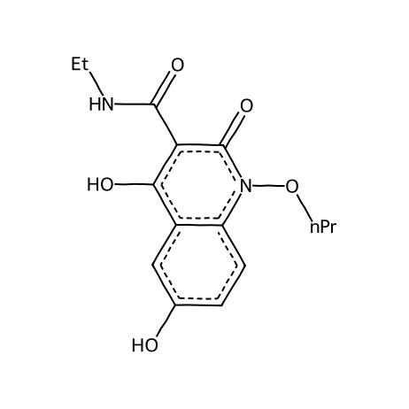 CCCOn1c(=O)c(C(=O)NCC)c(O)c2cc(O)ccc21